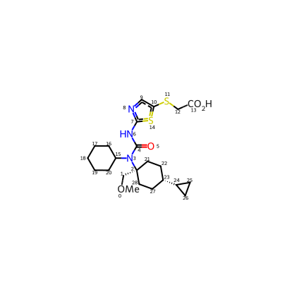 COC[C@]1(N(C(=O)Nc2ncc(SCC(=O)O)s2)C2CCCCC2)CC[C@H](C2CC2)CC1